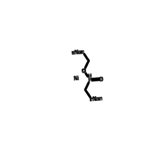 CCCCCCCCCCO[PH](=O)CCCCCCCCCC.[Ni]